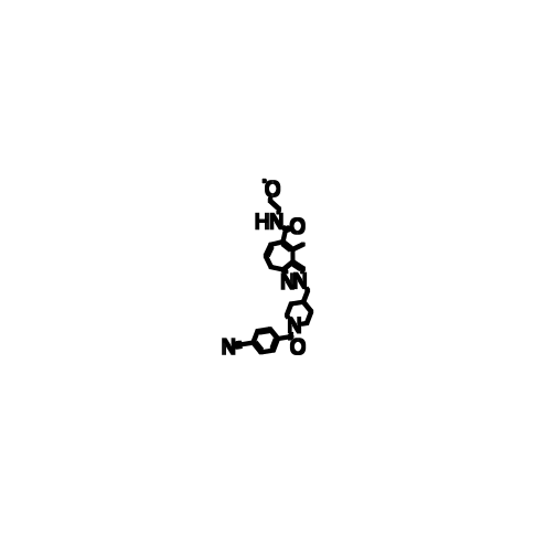 COCCNC(=O)C1=C(C)c2cn(CC3CCN(C(=O)c4ccc(C#N)cc4)CC3)nc2CC=C1